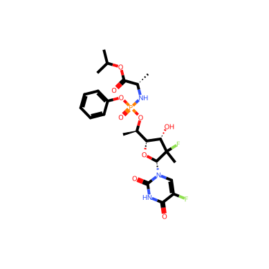 CC(C)OC(=O)[C@H](C)NP(=O)(Oc1ccccc1)O[C@H](C)[C@H]1O[C@@H](n2cc(F)c(=O)[nH]c2=O)C(C)(F)[C@H]1O